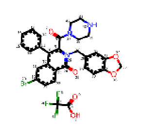 O=C(O)C(F)(F)F.O=C(c1c(-c2ccccc2)c2cc(Br)ccc2c(=O)n1Cc1ccc2c(c1)OCO2)N1CCNCC1